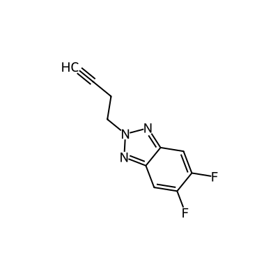 C#CCCn1nc2cc(F)c(F)cc2n1